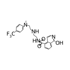 CN(CCNCCNS(=O)(=O)c1cccc2c(O)nccc12)c1ccc(C(F)(F)F)cc1